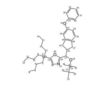 CCC[CH2][Sn]([CH2]CCC)([CH2]CCC)[c]1cnc(C(O[Si](C)(C)C(C)(C)C)C2Cc3ccc(Oc4ccccc4)cc3C2)o1